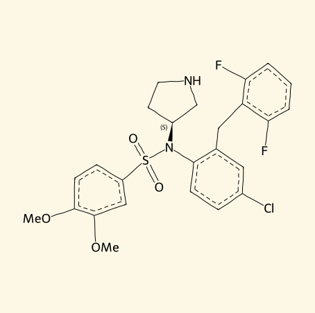 COc1ccc(S(=O)(=O)N(c2ccc(Cl)cc2Cc2c(F)cccc2F)[C@H]2CCNC2)cc1OC